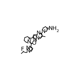 Cc1cn2nc([C@@H]3CCCCN3C(=O)c3ccn(CC(C)F)n3)cc2nc1N1CC[C@H](N)C1